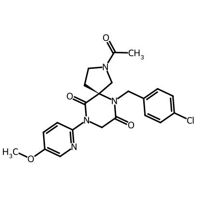 COc1ccc(N2CC(=O)N(Cc3ccc(Cl)cc3)[C@]3(CCN(C(C)=O)C3)C2=O)nc1